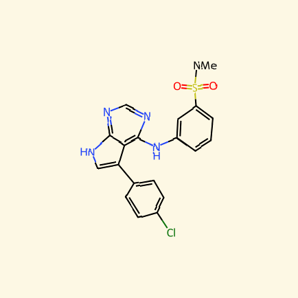 CNS(=O)(=O)c1cccc(Nc2ncnc3[nH]cc(-c4ccc(Cl)cc4)c23)c1